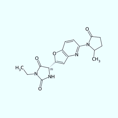 CCN1C(=O)N[C@@H](c2cc3nc(N4C(=O)CCC4C)ccc3o2)C1=O